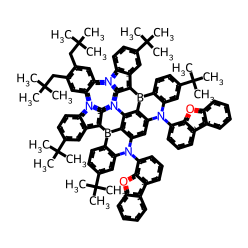 CC(C)(C)Cc1cc2c(cc1CC(C)(C)C)n1c3ccc(C(C)(C)C)cc3c3c1n1c4c(c5cc(C(C)(C)C)ccc5n24)B2c4ccc(C(C)(C)C)cc4N(c4cccc5c4oc4ccccc45)c4cc5c(c-1c42)B3c1ccc(C(C)(C)C)cc1N5c1cccc2c1oc1ccccc12